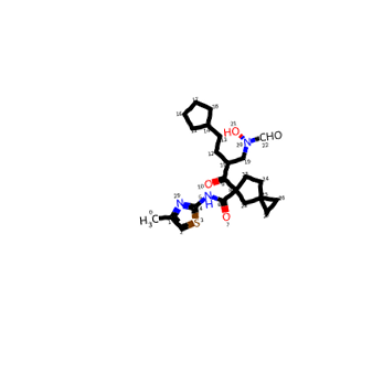 Cc1csc(NC(=O)C2(C(=O)C(CCC3CCCC3)CN(O)C=O)CCC3(CC3)C2)n1